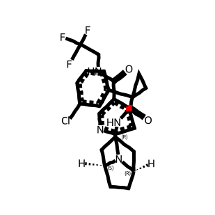 O=C(NCC(F)(F)F)c1ccc(N2[C@@H]3CC[C@H]2C[C@@H](NC(=O)C2(c4cccc(Cl)c4)CC2)C3)nc1